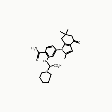 Cc1cc2c(n1-c1ccc(C(N)=O)c(NC(C(=O)O)N3CCCCC3)c1)CC(C)(C)CC2=O